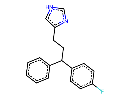 Fc1ccc(C(CCc2c[nH]cn2)c2ccccc2)cc1